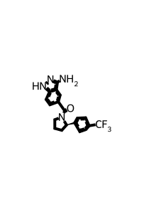 Nc1n[nH]c2ccc(C(=O)N3CCC[C@@H]3c3ccc(C(F)(F)F)cc3)cc12